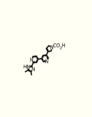 Cc1nc(-c2cc(-c3cncc(C4=CCN(C(=O)O)C4)c3)ccn2)[nH]c1C